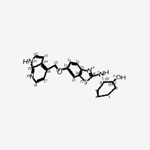 O[C@H]1CCCC[C@@H]1Nc1nc2ccc(OCc3ccnc4[nH]ccc34)cc2s1